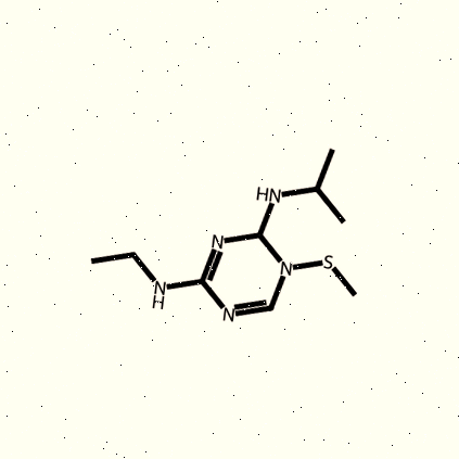 CCNC1=NC(NC(C)C)N(SC)C=N1